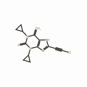 C=C1c2[nH]c(C#CCC)nc2N(C2CC2)C(=O)N1C1CC1